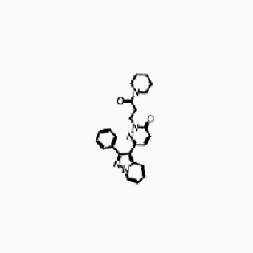 O=C(CCn1nc(-c2c(-c3ccccc3)nn3ccccc23)ccc1=O)N1CCCCC1